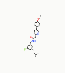 CCOc1ccc(-c2ccc(CC(=O)NCc3cc(F)cc(CCC(C)C)c3)nc2)cc1